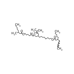 C=C=C=C=CC(CCCCC)CC(=O)OCCCCCCCCC(CCCCCCCCOC(=O)CC(C)CCCCC)CN(C)C(C)C